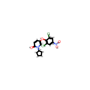 O=c1ccc(Oc2c(Cl)cc([N+](=O)[O-])cc2Cl)cn1C1CCCC1